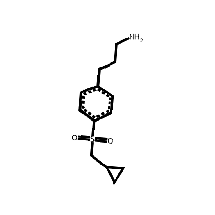 NCCCc1ccc(S(=O)(=O)CC2CC2)cc1